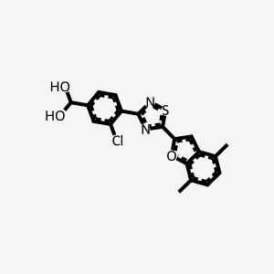 Cc1ccc(C)c2oc(-c3nc(-c4ccc(C(O)O)cc4Cl)ns3)cc12